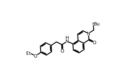 CCOc1ccc(CC(=O)Nc2cccc3c(=O)n(CC(C)(C)C)ccc23)cc1